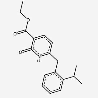 CCOC(=O)c1ccc(Cc2ccccc2C(C)C)[nH]c1=O